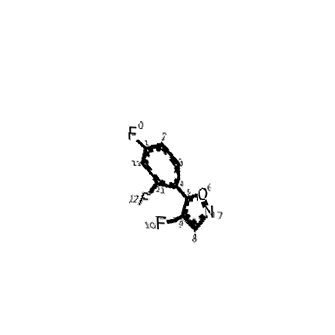 Fc1ccc(-c2oncc2F)c(F)c1